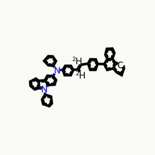 [2H]/C(=C(/[2H])c1ccc(N(c2ccccc2)c2ccc3c(c2)c2ccccc2n3-c2ccccc2)cc1)c1ccc(-c2cc3ccccc3c3ccccc23)cc1